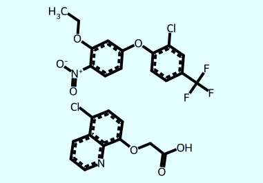 CCOc1cc(Oc2ccc(C(F)(F)F)cc2Cl)ccc1[N+](=O)[O-].O=C(O)COc1ccc(Cl)c2cccnc12